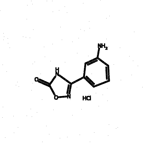 Cl.Nc1cccc(-c2noc(=O)[nH]2)c1